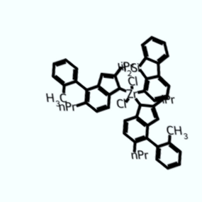 CCCc1ccc2c(c1-c1ccccc1C)C=C(C(C)C)[CH]2[Zr]([Cl])([Cl])([c]1cccc2c1[SiH2]c1ccccc1-2)[CH]1C(C(C)C)=Cc2c1ccc(CCC)c2-c1ccccc1C